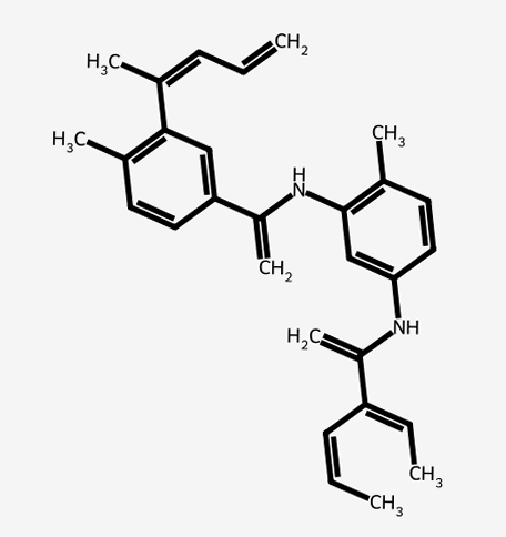 C=C/C=C(/C)c1cc(C(=C)Nc2cc(NC(=C)C(/C=C\C)=C/C)ccc2C)ccc1C